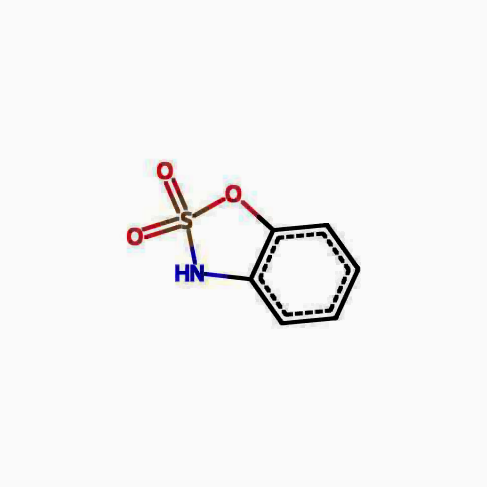 O=S1(=O)Nc2ccccc2O1